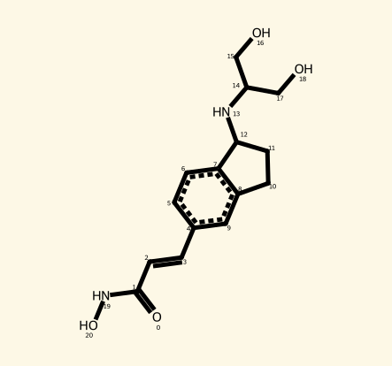 O=C(C=Cc1ccc2c(c1)CCC2NC(CO)CO)NO